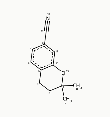 CC1(C)C[C]c2ccc(C#N)cc2O1